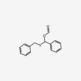 O=[C]OC(SCc1ccccc1)c1ccccc1